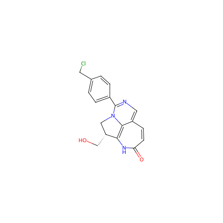 O=C1C=CC2=CN=C(c3ccc(CCl)cc3)N3C[C@@H](CO)C(=C23)N1